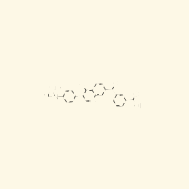 CS(=O)(=O)Nc1ccc(-c2coc3cc(C(=O)c4cccc(C(=O)O)c4)ccc3c2=O)cc1